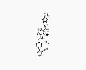 Cc1nc2c(s1)CN(C(=O)[C@H](O)[C@@H](O)C(=O)NCC1CCN(c3ccccc3C#N)CC1C)C2